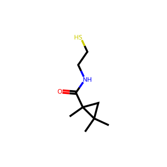 CC1(C)CC1(C)C(=O)NCCS